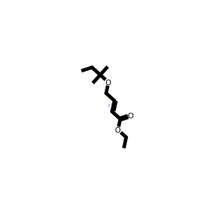 CCOC(=O)/C=C/COC(C)(C)CC